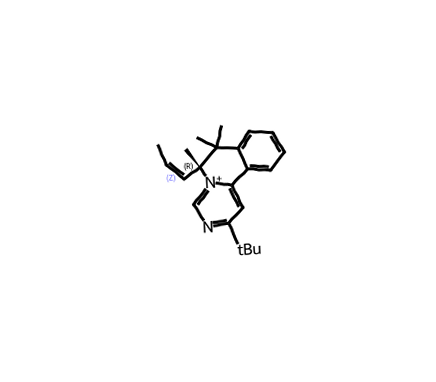 C/C=C\[C@@]1(C)[n+]2cnc(C(C)(C)C)cc2-c2ccccc2C1(C)C